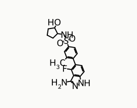 Cc1cc(S(=O)(=O)NC2CCCC2O)ccc1-c1ccc2[nH]nc(N)c2c1F